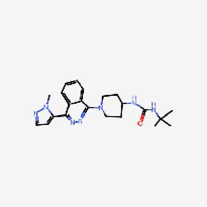 Cn1nccc1-c1nnc(N2CCC(NC(=O)NC(C)(C)C)CC2)c2ccccc12